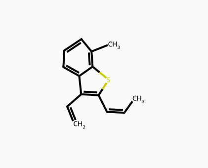 C=Cc1c(/C=C\C)sc2c(C)cccc12